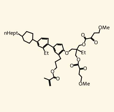 C=C(C)C(=O)OCCCc1cc(-c2ccc(C3CCC(CCCCCCC)CC3)cc2CC)ccc1OCC(CC)(COC(=O)C(=O)CCOC)COC(=O)C(=O)CCOC